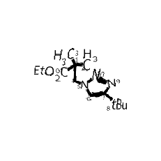 CCOC(=O)C(C)(C)Cn1cc(C(C)(C)C)nn1